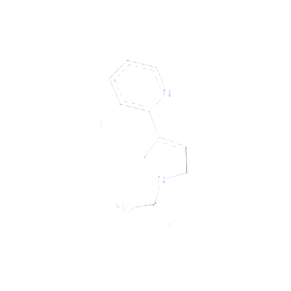 O=C(O)N1CC=C(c2ncccc2F)C1